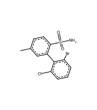 Cc1ccc(S(N)(=O)=O)c(-c2c(Cl)cccc2Br)c1